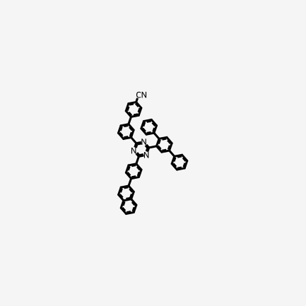 N#Cc1ccc(-c2cccc(-c3nc(-c4ccc(-c5ccc6ccccc6c5)cc4)nc(-c4cc(-c5ccccc5)ccc4-c4ccccc4)n3)c2)cc1